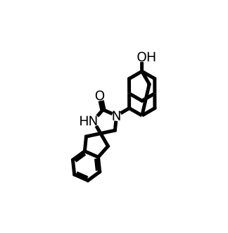 O=C1NC2(Cc3ccccc3C2)CN1C1C2CC3CC1CC(O)(C3)C2